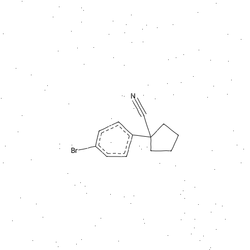 N#CC1(c2ccc(Br)cc2)CCCC1